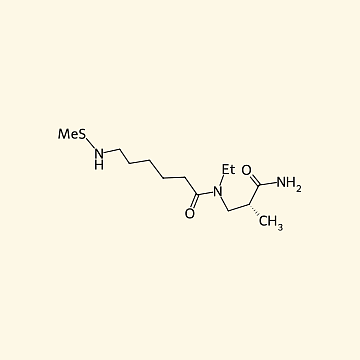 CCN(C[C@@H](C)C(N)=O)C(=O)CCCCCNSC